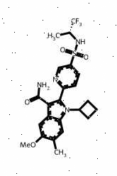 COc1cc2c(C(N)=O)c(-c3ccc(S(=O)(=O)N[C@H](C)C(F)(F)F)cn3)n(C3CCC3)c2cc1C